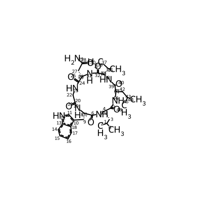 CC(C)C[C@@H]1NC(=O)[C@H](Cc2c[nH]c3ccccc23)NC(=O)CNC(=O)[C@H](CC(N)=O)NC(=O)[C@H](C(C)C)NC(=O)[C@@H](CC(C)C)NC1=O